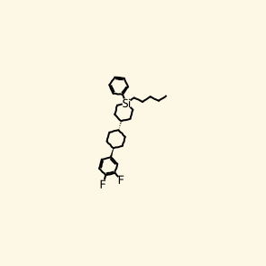 CCCCC[Si]1(c2ccccc2)CCC([C@H]2CC[C@H](c3ccc(F)c(F)c3)CC2)CC1